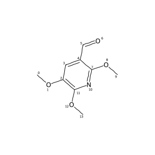 COc1cc(C=O)c(OC)nc1OC